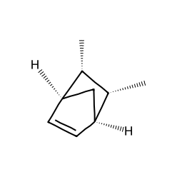 C[C@@H]1[C@H](C)[C@H]2C=C[C@@H]1C2